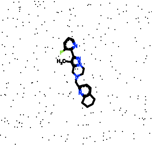 Cc1c(-c2ncccc2F)nn2c1CN(Cc1ccc3c(n1)CCCC3)CC2